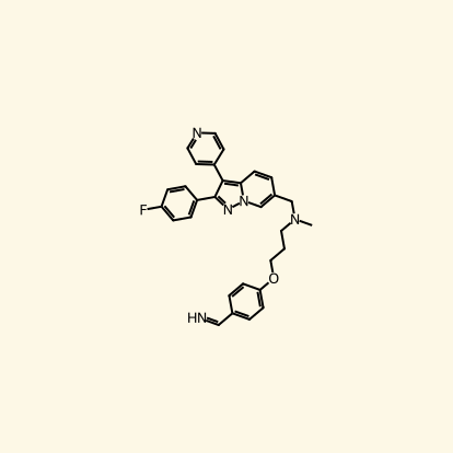 CN(CCCOc1ccc(C=N)cc1)Cc1ccc2c(-c3ccncc3)c(-c3ccc(F)cc3)nn2c1